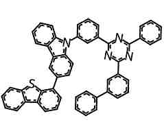 c1ccc(-c2cccc(-c3nc(-c4ccccc4)nc(-c4cccc(-n5c6ccccc6c6cc(-c7cccc8c7sc7ccccc78)ccc65)c4)n3)c2)cc1